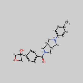 O=C(c1ccc(C2(O)COC2)cc1)N1CC2CN(c3ccc(C(F)(F)F)cc3)CC2C1